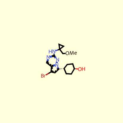 COCC1(Nc2ncc3c(Br)cc([C@H]4CC[C@H](O)CC4)n3n2)CC1